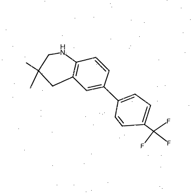 CC1(C)CNc2ccc(-c3ccc(C(F)(F)F)cc3)cc2C1